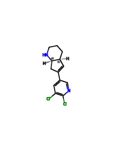 Clc1cc(C2=C[C@@H]3CCCN[C@@H]3C2)cnc1Cl